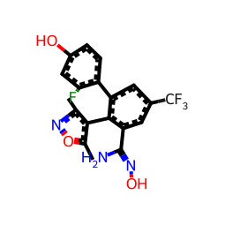 Cc1noc(C)c1-c1c(/C(N)=N/O)cc(C(F)(F)F)cc1-c1ccc(O)cc1F